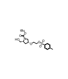 Cc1ccc(S(=O)(=O)OCCO[C@@H]2C[C@@H](CO)N(C(=O)OC(C)(C)C)C2)cc1